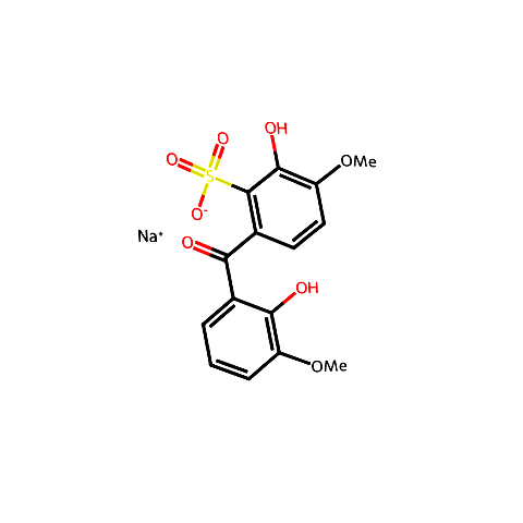 COc1cccc(C(=O)c2ccc(OC)c(O)c2S(=O)(=O)[O-])c1O.[Na+]